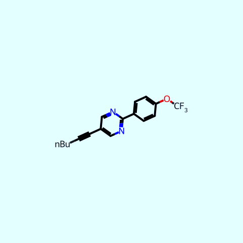 CCCCC#Cc1cnc(-c2ccc(OC(F)(F)F)cc2)nc1